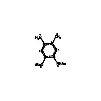 COc1cc(N)c(C)cc1NC(C)=O